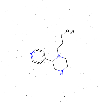 O=C(O)CCCN1CCNCC1c1ccncc1